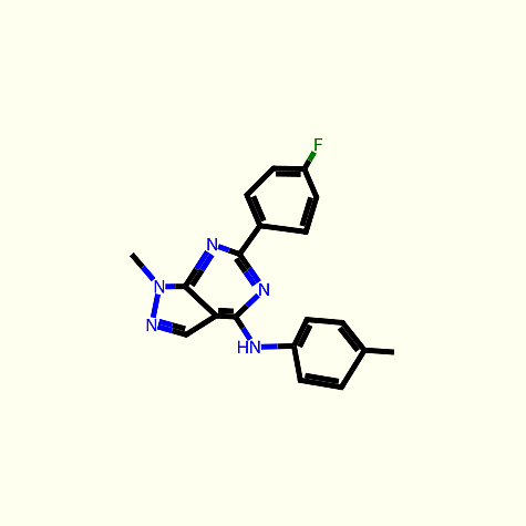 Cc1ccc(Nc2nc(-c3ccc(F)cc3)nc3c2cnn3C)cc1